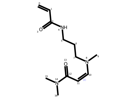 C=CC(=O)NCCCN(C)/C=C\C(=O)N(C)C